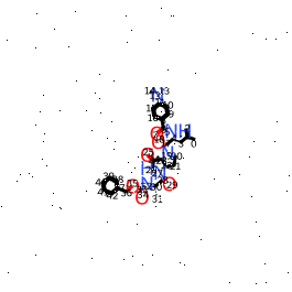 CC(C)C[C@H](NC(=O)c1ccc(N(C)C)cc1)C(=O)N1CCC2C1C(=O)CN2C(=O)[C@H](C)NC(=O)OCc1ccccc1